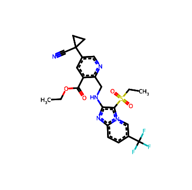 CCOC(=O)c1cc(C2(C#N)CC2)cnc1CNc1nc2ccc(C(F)(F)F)cn2c1S(=O)(=O)CC